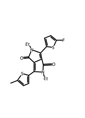 CCN1C(=O)C2=C(c3ccc(F)s3)N(CC)C(=O)C2=C1c1ccc(C)s1